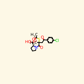 CC(=O)SC(C)(CC(=O)c1ccc(Cl)cc1)C(=O)N1CCC[C@H]1C(=O)O